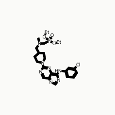 CCOP(=O)(CN(C)CC1CCN(c2ncc3ncnc(Nc4cccc(Cl)c4)c3n2)CC1)OCC